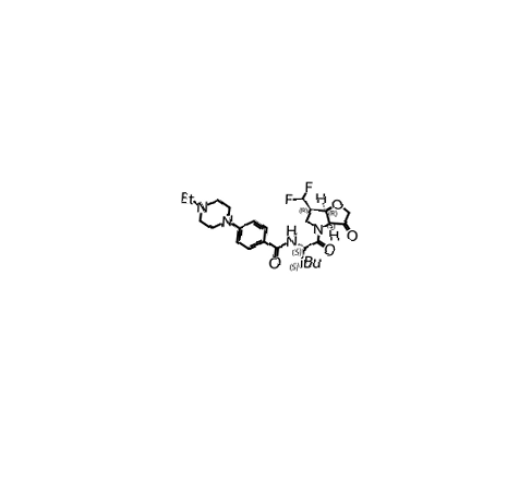 CC[C@H](C)[C@H](NC(=O)c1ccc(N2CCN(CC)CC2)cc1)C(=O)N1C[C@@H](C(F)F)[C@H]2OCC(=O)[C@H]21